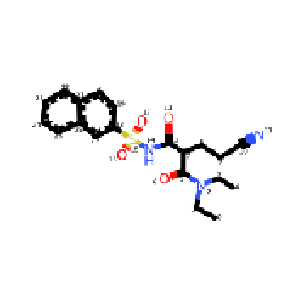 CCN(CC)C(=O)C(CCC#N)C(=O)NS(=O)(=O)c1ccc2ccccc2c1